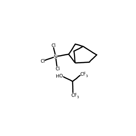 Cl[Si](Cl)(Cl)C1CC2CCC1C2.OC(C(F)(F)F)C(F)(F)F